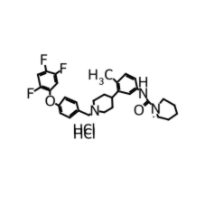 Cc1ccc(NC(=O)N2[CH]CCCC2)cc1C1CCN(Cc2ccc(Oc3cc(F)c(F)cc3F)cc2)CC1.Cl.Cl